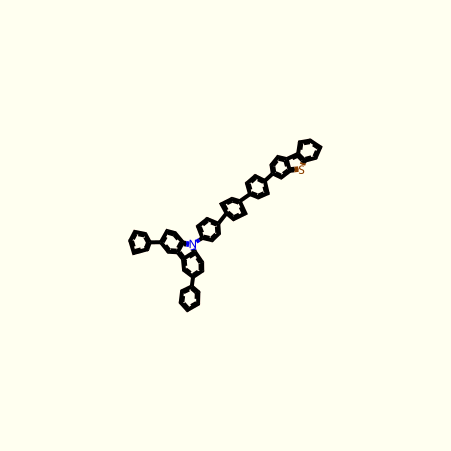 c1ccc(-c2ccc3c(c2)c2cc(-c4ccccc4)ccc2n3-c2ccc(-c3ccc(-c4ccc(-c5ccc6c(c5)sc5ccccc56)cc4)cc3)cc2)cc1